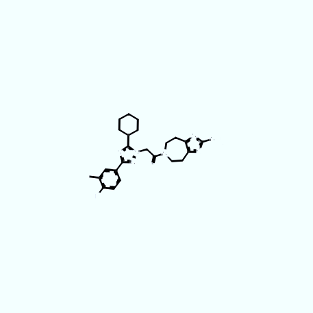 Cc1cc(-c2nc(C3CCCCC3)n(CC(=O)N3CCc4nc(N)sc4CC3)n2)ccc1F